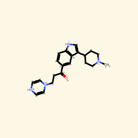 CN1CCC(c2c[nH]c3ccc(C(=O)CCN4C=CNC=C4)cc23)CC1